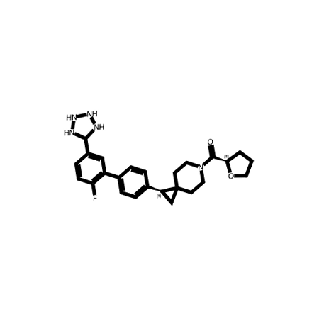 O=C([C@H]1CCCO1)N1CCC2(CC1)C[C@H]2c1ccc(-c2cc(C3NNNN3)ccc2F)cc1